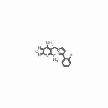 Cc1nc2nonc2c(N)c1Cn1ccc(-c2ccccc2F)n1